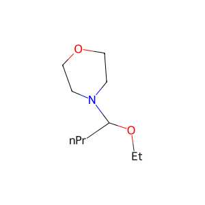 CCCC(OCC)N1CCOCC1